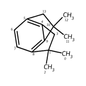 CC1(C)Cc2c3c[c]c1c2C(C)(C)C3